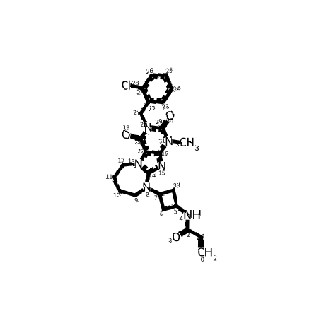 C=CC(=O)NC1CC(N2CCCCn3c2nc2c3c(=O)n(Cc3ccccc3Cl)c(=O)n2C)C1